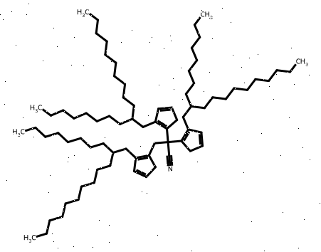 CCCCCCCCCCC(CCCCCCCC)CC1=C(CC(C#N)(C2=C(CC(CCCCCCCC)CCCCCCCCCC)C=CC2)C2=C(CC(CCCCCCCC)CCCCCCCCCC)C=CC2)CC=C1